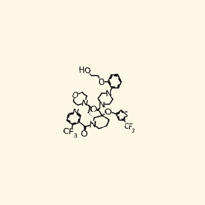 O=C(c1cnccc1C(F)(F)F)N1CCC[C@@](Oc2csc(C(F)(F)F)c2)(C(=O)N2CCN(c3ccccc3OCCO)CC2)[C@H]1CCN1CCOCC1